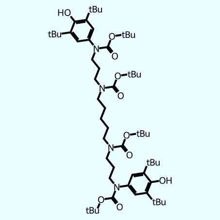 CC(C)(C)OC(=O)N(CCCCCN(CCCN(C(=O)OC(C)(C)C)c1cc(C(C)(C)C)c(O)c(C(C)(C)C)c1)C(=O)OC(C)(C)C)CCCN(C(=O)OC(C)(C)C)c1cc(C(C)(C)C)c(O)c(C(C)(C)C)c1